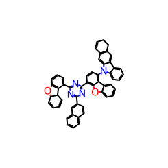 C1=CC2Oc3cccc(-c4nc(-c5ccc6ccccc6c5)nc(-c5ccc(-n6c7ccccc7c7cc8c(cc76)C=CCC8)c6c5oc5ccccc56)n4)c3C2C=C1